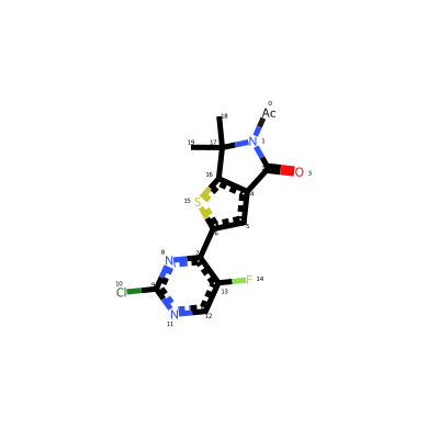 CC(=O)N1C(=O)c2cc(-c3nc(Cl)ncc3F)sc2C1(C)C